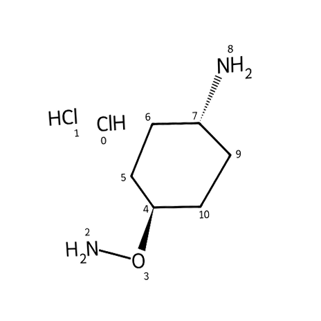 Cl.Cl.NO[C@H]1CC[C@H](N)CC1